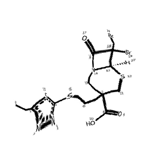 Cc1nnc(SCC2(C(=O)O)CS[C@H]3N(C2)C(=O)C3(Br)Br)s1